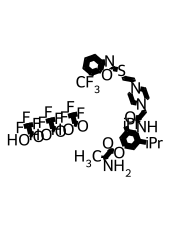 CC(C)c1cc(OC(=O)[C@H](C)N)cc(C(C)C)c1NC(=O)CN1CCN(CCSc2nc3cccc(C(F)(F)F)c3o2)CC1.O=C(O)C(F)(F)F.O=C(O)C(F)(F)F.O=C(O)C(F)(F)F